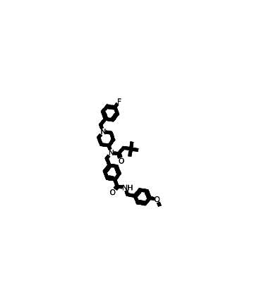 COc1ccc(CNC(=O)c2ccc(CN(C(=O)CC(C)(C)C)C3CCN(Cc4ccc(F)cc4)CC3)cc2)cc1